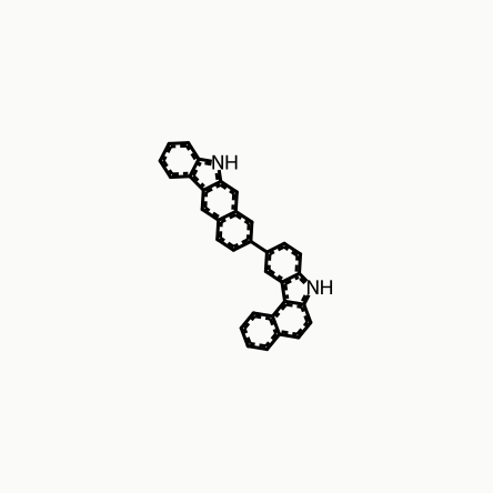 c1ccc2c(c1)ccc1[nH]c3ccc(-c4ccc5cc6c(cc5c4)[nH]c4ccccc46)cc3c12